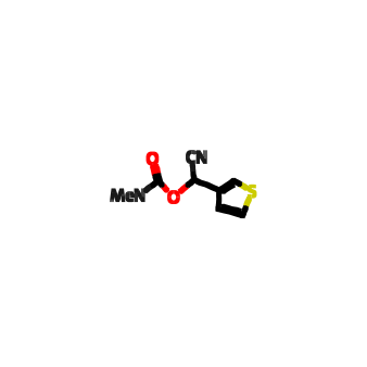 CNC(=O)OC(C#N)c1ccsc1